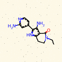 CCN1CCc2[nH]c(-c3ccnc(N)c3)c(N)c2C1=O